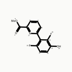 COC(=O)c1cccc(-c2c(F)ccc(O)c2F)n1